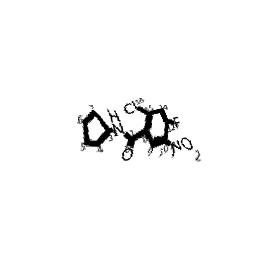 O=C(NC1CCCC1)c1cc([N+](=O)[O-])c(F)cc1Cl